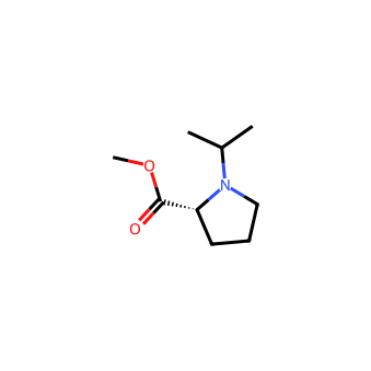 COC(=O)[C@H]1CCCN1C(C)C